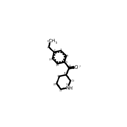 CCc1ccc(C(=O)C2CCCNC2)cc1